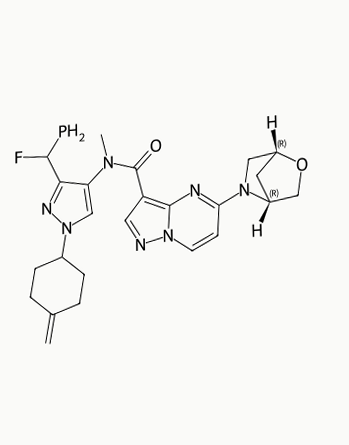 C=C1CCC(n2cc(N(C)C(=O)c3cnn4ccc(N5C[C@H]6C[C@@H]5CO6)nc34)c(C(F)P)n2)CC1